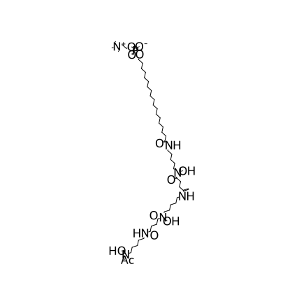 C=C(CCC(=O)N(O)CCCCCNC(=O)CCCCCCCCCCCCCCCCCCOP(=O)([O-])OCC[N+](C)(C)C)NCCCCCN(O)C(=O)CCC(=O)NCCCCCN(O)C(C)=O